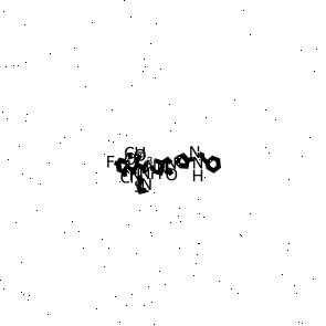 COC(=O)C1=C(CN2CCN3C(=O)N(c4ccc(-c5ncc(C6CCCCC6)[nH]5)cc4)CC3C2)NC(c2nccs2)=NC1c1ccc(F)cc1Cl